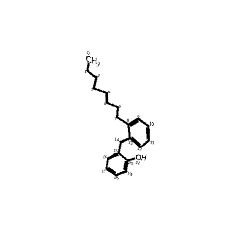 CCCCCCCCc1ccccc1Cc1ccccc1O